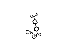 O=C(c1ccc(-c2ccc(C(=O)N3CCCC3CN3CCCC3)cc2)cc1)C1CC1